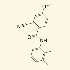 COc1ccc(C(=O)Nc2cccc(C)c2C)c(C#N)c1